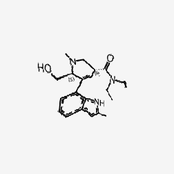 CCN(CC)C(=O)[C@@H]1C=C(c2cccc3cc(C)[nH]c23)[C@@H](CO)N(C)C1